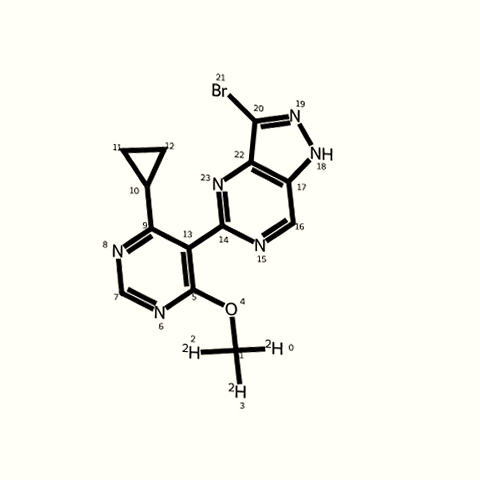 [2H]C([2H])([2H])Oc1ncnc(C2CC2)c1-c1ncc2[nH]nc(Br)c2n1